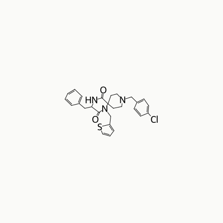 O=C1C(Cc2ccccc2)NC(=O)C2(CCN(Cc3ccc(Cl)cc3)CC2)N1Cc1cccs1